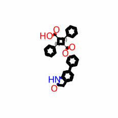 O=C1Cc2ccc(-c3cccc(OC(=O)[C@H]4[C@H](c5ccccc5)[C@H](C(=O)O)[C@H]4c4ccccc4)c3)cc2N1